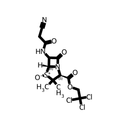 CC1(C)[C@H](C(=O)OCC(Cl)(Cl)Cl)N2C(=O)C(NC(=O)CC#N)[C@H]2[S+]1[O-]